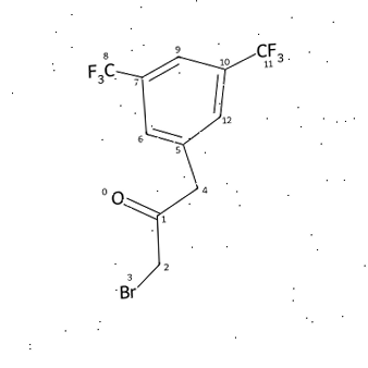 O=C(CBr)Cc1cc(C(F)(F)F)cc(C(F)(F)F)c1